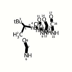 CCCCC(C)C(C)(C)C.CCCCCC.N=C=O.N=C=O.N=C=O.N=C=O